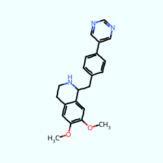 COc1cc2c(cc1OC)C(Cc1ccc(-c3cncnc3)cc1)NCC2